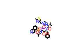 Cc1nc(CN2CCN([C@H](C(=O)N[C@@H](Cc3ccccc3)C(O)CN(CC(C)C)S(=O)(=O)c3cccc4cnccc34)C(C)C)C2=O)cs1